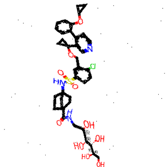 O=C(NC[C@H](O)[C@@H](O)[C@H](O)[C@H](O)CO)C12CCC(NS(=O)(=O)c3ccc(Cl)c(COC4(c5cnccc5-c5ccccc5OC5CC5)CC4)c3)(CC1)CC2